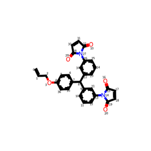 C=CCOc1ccc(C(c2cccc(N3C(=O)C=CC3=O)c2)c2cccc(N3C(=O)C=CC3=O)c2)cc1